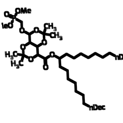 CCCCCCCCCCCCCCCCCC(CCCCCCCCCCCCCCCCC)OC(=O)C1OC(C)(C)OC2C(OCP(=O)(OC)OC)OC(C)(C)OC12